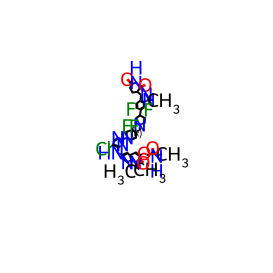 CNC(=O)COc1cc2cc(Nc3nc(N4CC[C@H](CN5CCC(c6c(F)cc7c(C8CCC(=O)NC8=O)nn(C)c7c6F)CC5)C(F)(F)C4)ncc3Cl)cnc2n(C(C)C)c1=O